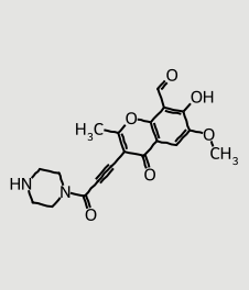 COc1cc2c(=O)c(C#CC(=O)N3CCNCC3)c(C)oc2c(C=O)c1O